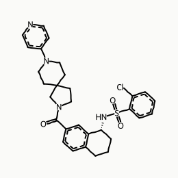 O=C(c1ccc2c(c1)[C@H](NS(=O)(=O)c1ccccc1Cl)CCC2)N1CCC2(CCN(c3ccncc3)CC2)C1